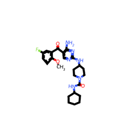 COc1ccc(F)cc1C(=O)c1cnc(NC2CCN(C(=O)NC3CCCCC3)CC2)nc1N